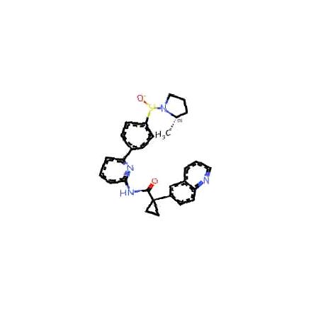 C[C@H]1CCCN1[S+]([O-])c1ccc(-c2cccc(NC(=O)C3(c4ccc5ncccc5c4)CC3)n2)cc1